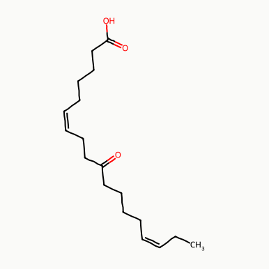 CC/C=C\CCCCC(=O)CC/C=C\CCCCC(=O)O